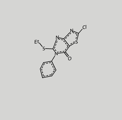 CCSc1nc2nc(Cl)sc2c(=O)n1-c1ccccc1